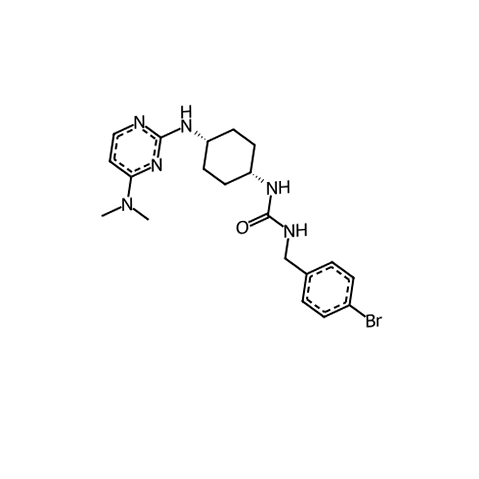 CN(C)c1ccnc(N[C@H]2CC[C@@H](NC(=O)NCc3ccc(Br)cc3)CC2)n1